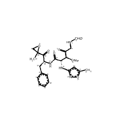 COC(C(=O)CNC=O)[C@H](Nc1cc(C)on1)C(=O)N[C@@H](Cc1ccccc1)C(=O)C1(C)CO1